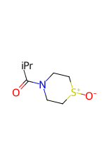 CC(C)C(=O)N1CC[S+]([O-])CC1